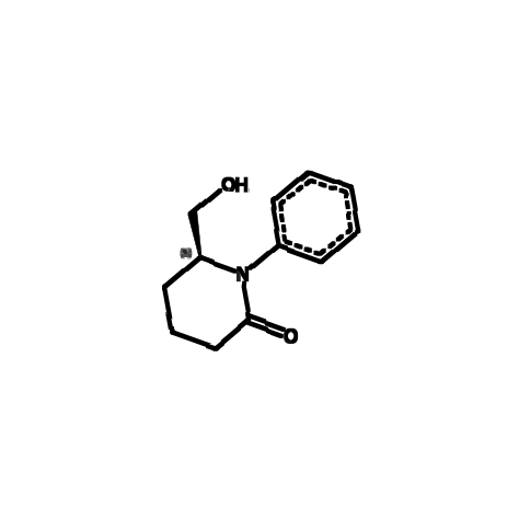 O=C1CCC[C@@H](CO)N1c1ccccc1